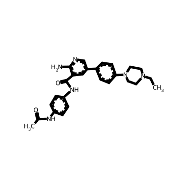 CCN1CCN(c2ccc(-c3cnc(N)c(C(=O)Nc4ccc(NC(C)=O)cc4)c3)cc2)CC1